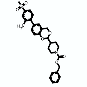 CS(=O)(=O)c1ccc(-c2ccc3c(c2)COC(C2CCN(C(=O)OCc4ccccc4)CC2)O3)c(N)c1